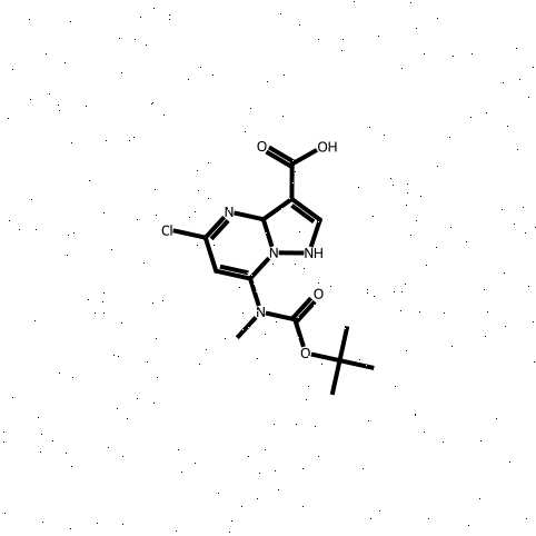 CN(C(=O)OC(C)(C)C)C1=CC(Cl)=NC2C(C(=O)O)=CNN12